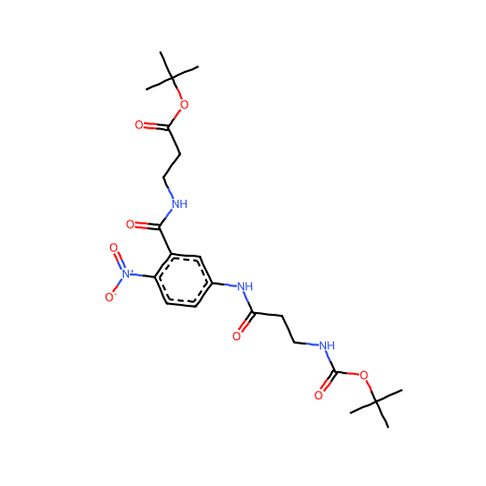 CC(C)(C)OC(=O)CCNC(=O)c1cc(NC(=O)CCNC(=O)OC(C)(C)C)ccc1[N+](=O)[O-]